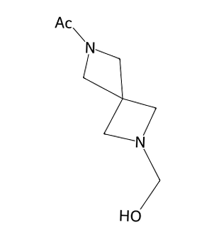 CC(=O)N1CC2(CN(CO)C2)C1